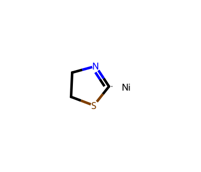 [C]1=NCCS1.[Ni]